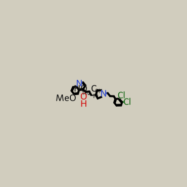 COc1ccc2nccc([C@@H](O)CC[C@@H]3CCN(CCCc4cccc(Cl)c4Cl)C[C@@H]3C(=O)O)c2c1